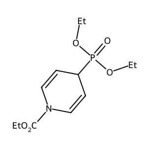 CCOC(=O)N1C=CC(P(=O)(OCC)OCC)C=C1